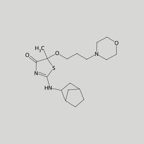 CC1(OCCCN2CCOCC2)SC(NC2CC3CCC2C3)=NC1=O